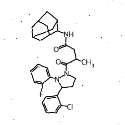 CC(CC(=O)NC1C2CC3CC(C2)CC1C3)C(=O)N1CCC(c2ccccc2Cl)N1c1ccccc1F